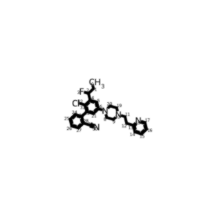 CCC(F)c1cc(N2CCN(CCc3ccccn3)CC2)cc(-c2ccccc2C#N)c1Cl